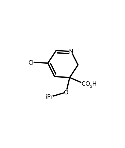 CC(C)OC1(C(=O)O)C=C(Cl)C=NC1